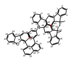 CC1(C)c2ccccc2-c2cc(-c3ccccc3N(c3cccc(-c4cccc5cccc(-c6cccc7c6oc6ccccc67)c45)c3)c3ccc4c(c3)-c3ccccc3C4(C)C)ccc21